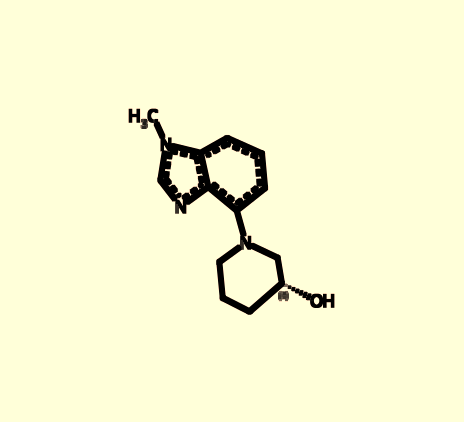 Cn1cnc2c(N3CCC[C@@H](O)C3)cccc21